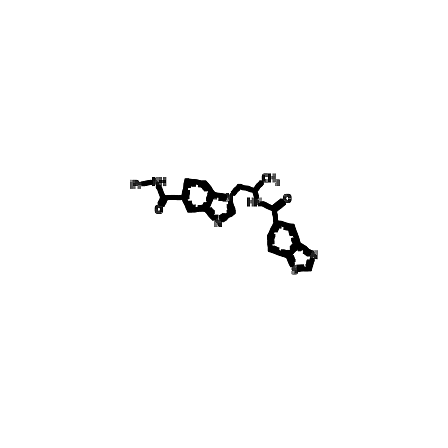 CC(C)NC(=O)c1ccc2c(c1)ncn2CC(C)NC(=O)c1ccc2scnc2c1